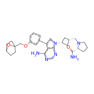 NC(=O)[C@H]1CCCN1C[C@H]1C[C@@H](n2cc(-c3cccc(OCC45CCC(CC4)O5)c3)c3c(N)ncnc32)C1